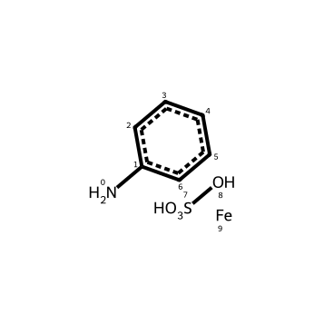 Nc1ccccc1.O=S(=O)(O)O.[Fe]